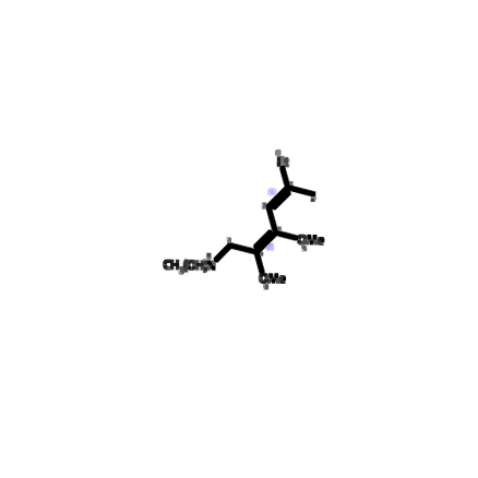 CC/C(C)=C/C(OC)=C(\CN(C)O)OC